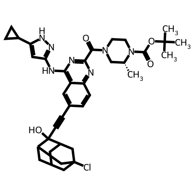 C[C@@H]1CN(C(=O)c2nc(Nc3cc(C4CC4)[nH]n3)c3cc(C#CC4(O)C5CC6CC4CC(Cl)(C6)C5)ccc3n2)CCN1C(=O)OC(C)(C)C